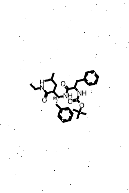 CCNC(=O)C(CC(C)C)[C@@H](Cc1ccccc1)NC(=O)C(Cc1ccccc1)NC(=O)OC(C)(C)C